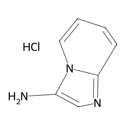 Cl.Nc1cnc2ccccn12